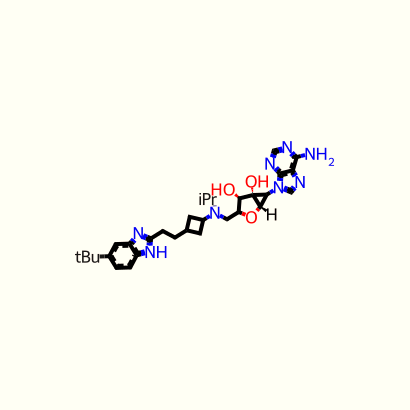 CC(C)N(CC1O[C@H]2C(n3cnc4c(N)ncnc43)[C@]2(O)[C@@H]1O)C1CC(CCc2nc3cc(C(C)(C)C)ccc3[nH]2)C1